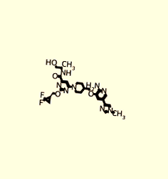 C[C@H](CO)NC(=O)c1cc(N2CCC(COc3cc(-c4cn(C)cn4)cnc3N)CC2)nc(OC[C@H]2CC2(F)F)n1